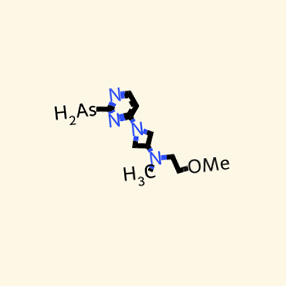 COCCN(C)C1CN(c2ccnc([AsH2])n2)C1